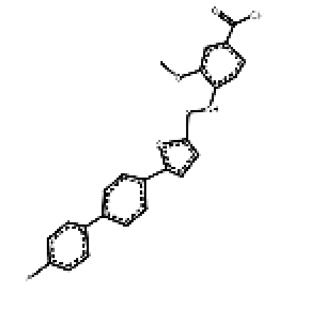 COc1cc(C(=O)O)ccc1NSc1ccc(-c2ccc(-c3ccc(F)cc3)cc2)s1